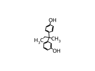 CCC(C)(c1ccc(O)cc1)c1cccc(O)c1